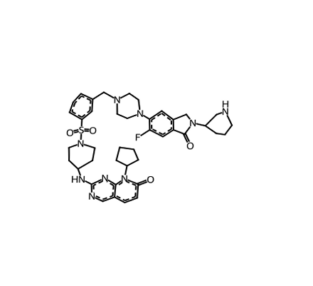 O=C1c2cc(F)c(N3CCN(Cc4cccc(S(=O)(=O)N5CCC(Nc6ncc7ccc(=O)n(C8CCCC8)c7n6)CC5)c4)CC3)cc2CN1C1CCCNC1